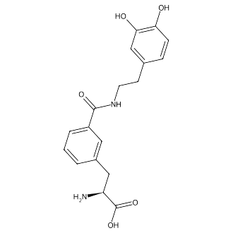 N[C@@H](Cc1cccc(C(=O)NCCc2ccc(O)c(O)c2)c1)C(=O)O